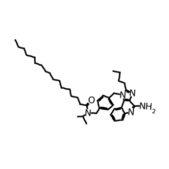 CCCCCCCCCCCCCCCCC(=O)N(Cc1ccc(Cn2c(CCCC)nc3c(N)nc4ccccc4c32)cc1)C(C)C